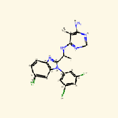 CC(Nc1ncnc(N)c1C#N)c1nc2ccc(Cl)cc2n1-c1cc(F)cc(F)c1